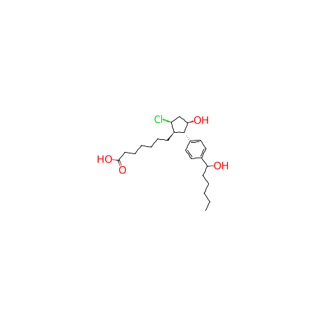 CCCCCC(O)c1ccc([C@@H]2[C@@H](CCCCCCC(=O)O)[C@@H](Cl)C[C@H]2O)cc1